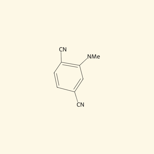 CNc1cc(C#N)ccc1C#N